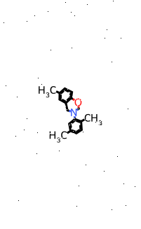 Cc1ccc2c(c1)CN(c1cc(C)ccc1C)CO2